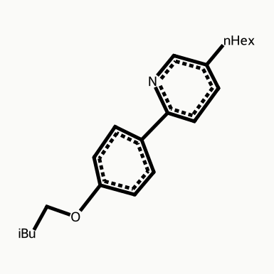 CCCCCCc1ccc(-c2ccc(OCC(C)CC)cc2)nc1